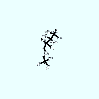 FC(F)(F)COCC(F)(F)C(F)(F)C(F)(F)F